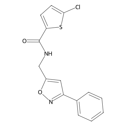 O=C(NCc1cc(-c2ccccc2)no1)c1ccc(Cl)s1